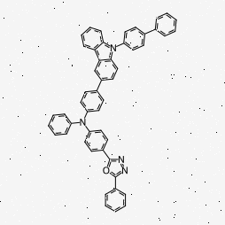 c1ccc(-c2ccc(-n3c4ccccc4c4cc(-c5ccc(N(c6ccccc6)c6ccc(-c7nnc(-c8ccccc8)o7)cc6)cc5)ccc43)cc2)cc1